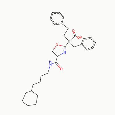 O=C(NCCCCC1CCCCC1)C1COC(C(CCc2ccccc2)(Cc2ccccc2)C(=O)O)=N1